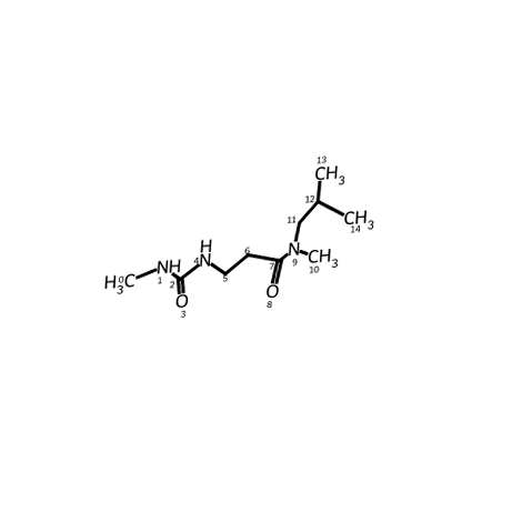 CNC(=O)NCCC(=O)N(C)CC(C)C